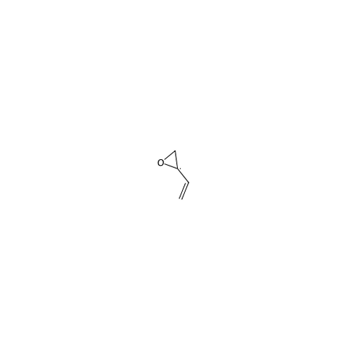 C=C[C]1CO1